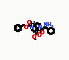 COC(=O)[C@H]1CN(C(=O)OCc2ccccc2)[C@@H]2CCN(C(=O)[C@@H](N)C3CCCCC3)[C@H]12